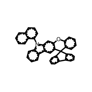 c1ccc2c(c1)Oc1cc3c(cc1C21c2ccccc2-c2ccccc21)c1ccccc1n3-c1cccc2ccccc12